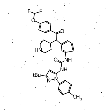 Cc1ccc(-n2nc(C(C)(C)C)cc2NC(=O)Nc2cccc(C(C(=O)c3ccc(OC(F)F)cc3)C3CCNCC3)c2)cc1